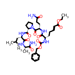 CCOC(=O)/C=C/CC[C@H](NC(=O)OCc1ccccc1)C(=O)N[C@@H](CCC(N)=O)C(=O)N1CCC[C@H]1C(=O)N[C@@H](CC(C)C)C(=O)N[C@@H](C)C(N)=O